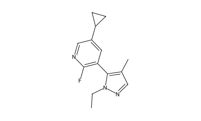 CCn1ncc(C)c1-c1cc(C2CC2)cnc1F